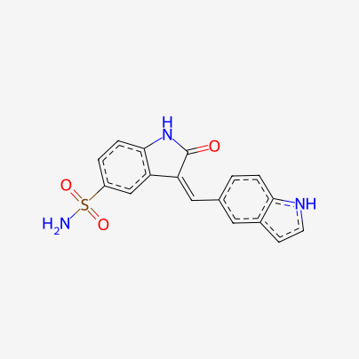 NS(=O)(=O)c1ccc2c(c1)/C(=C/c1ccc3[nH]ccc3c1)C(=O)N2